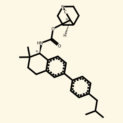 CC(C)Cc1ccc(-c2ccc3c(c2)CCC(C)(C)[C@H]3NC(=O)O[C@H]2CN3CCC2CC3)cc1